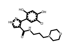 O=C(NCCCN1CCOCC1)c1c[nH]nc1-c1cc(Cl)c(O)cc1O